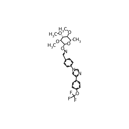 CO[C@@H]1[C@@H](OC)[C@H](C)O[C@@H](O/N=C/c2ccc(-n3cnc(-c4ccc(OC(F)(F)F)cc4)c3)cc2)[C@@H]1OC